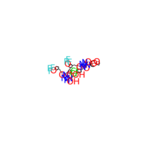 CN1c2nc(OCCCc3cccc(OC(F)(F)F)c3)n(Cc3ccc(Cl)c(-c4cc(CCCOc5nc6c(c(=O)n(CCCOC7CCCCO7)c(=O)n6C)n5Cc5ccc(Cl)cc5)cc(OC(F)(F)F)c4)c3)c2C(=O)N(CCCO)C1O